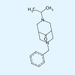 CC(C)N1CC2CN(Cc3ccccc3)CC(C1)C2=O